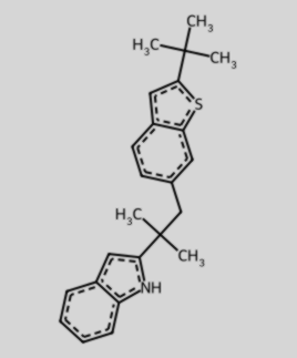 CC(C)(C)c1cc2ccc(CC(C)(C)c3cc4ccccc4[nH]3)cc2s1